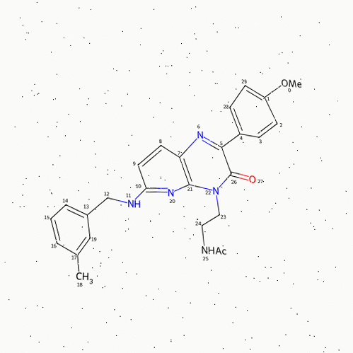 COc1ccc(-c2nc3ccc(NCc4cccc(C)c4)nc3n(CCNC(C)=O)c2=O)cc1